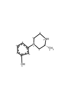 C[C@@H]1CN(c2cccc(O)c2)CCN1